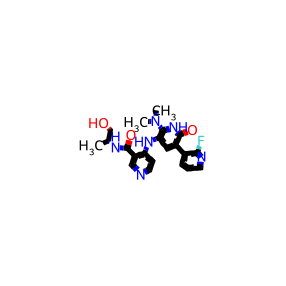 CC(CO)NC(=O)c1cnccc1Nc1cc(-c2cccnc2F)c(=O)[nH]c1N(C)C